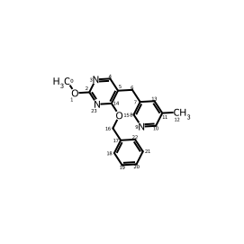 COc1ncc(Cc2cncc(C)c2)c(OCc2ccccc2)n1